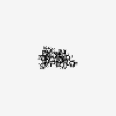 CCc1ccc2c(oc3ccccc32)c1N(c1cc(C)cc(C)c1)c1cc(C(C)C)c2ccc3c(N(c4cc(C)cc(C)c4)c4c(CC)ccc5c4oc4ccccc45)cc(C(C)C)c4ccc1c2c43